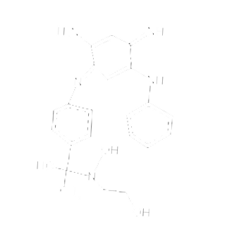 CC(O)(c1ccc(N=C2C=C(Nc3ccccc3)C(=N)C=C2N)cc1)N(O)CCO